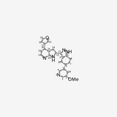 COc1cncc(-c2ccc3[nH]nc(-c4cc5c(-c6ccoc6)ccnc5[nH]4)c3c2)c1